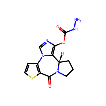 NNC(=O)Oc1ncn2c1[C@@H]1CCCN1C(=O)c1sccc1-2